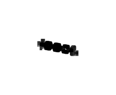 O=C(O)N1CCN(c2ccc(-c3ccc(C(F)(F)F)cc3)cc2)CC1